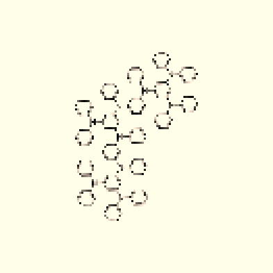 c1ccc(N(c2ccccc2)c2cc(N(c3ccccc3)c3ccccc3)cc(N(c3ccccc3)c3cccc(N(c4ccccc4)c4cc(N(c5ccccc5)c5ccccc5)cc(N(c5ccccc5)c5cccc(N(c6ccccc6)c6cc(N(c7ccccc7)c7ccccc7)cc(N(c7ccccc7)c7ccccc7)c6)c5)c4)c3)c2)cc1